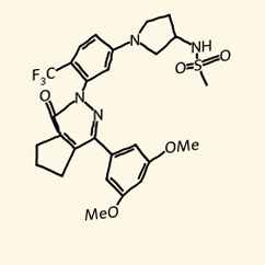 COc1cc(OC)cc(-c2nn(-c3cc(N4CCC(NS(C)(=O)=O)C4)ccc3C(F)(F)F)c(=O)c3c2CCC3)c1